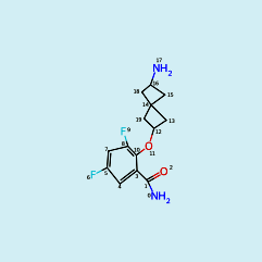 NC(=O)c1cc(F)cc(F)c1OC1CC2(CC(N)C2)C1